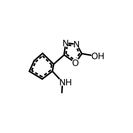 CNc1ccccc1-c1nnc(O)o1